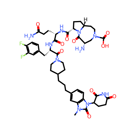 Cn1c(=O)n(C2CCC(=O)NC2=O)c2ccc(CCCC3CCN(C(=O)[C@H](Cc4ccc(F)c(F)c4)NC(=O)[C@H](CCC(N)=O)NC(=O)[C@@H]4CC[C@@H]5CCN(C(=O)O)C[C@H](N)C(=O)N54)CC3)cc21